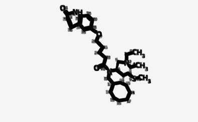 CCN(CC)C[C@@H](CCSC)N(CC1CCCCCCC1)C(=O)CCCCOc1ccc2[nH]c(=O)ccc2c1